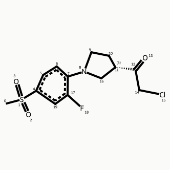 CS(=O)(=O)c1ccc(N2CC[C@H](C(=O)CCl)C2)c(F)c1